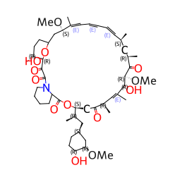 CO[C@H]1CC2CC[C@@H](C)[C@@](O)(O2)C(=O)C(=O)N2CCCCC2C(=O)O[C@H]([C@H](C)C[C@@H]2CC[C@@H](O)[C@H](OC)C2)CC(=O)[C@H](C)/C=C(\C)[C@@H](O)[C@@H](OC)C(=O)[C@H](C)C[C@H](C)/C=C/C=C/C=C/1C